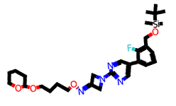 CC(C)(C)[Si](C)(C)OCc1cccc(-c2cnc(N3CC(=NOCCCCOC4CCCCO4)C3)nc2)c1F